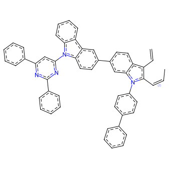 C=Cc1c(/C=C\C)n(-c2ccc(-c3ccccc3)cc2)c2cc(-c3ccc4c(c3)c3ccccc3n4-c3cc(-c4ccccc4)nc(-c4ccccc4)n3)ccc12